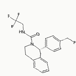 O=C(NCC(F)(F)F)N1CCc2ccccc2[C@H]1c1ccc(CF)cc1